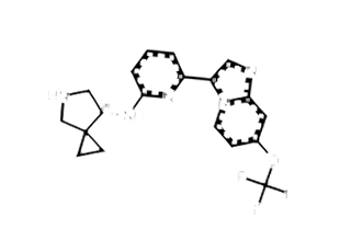 FC(F)(F)Oc1ccn2c(-c3cccc(N[C@H]4CNCC45CC5)n3)cnc2c1